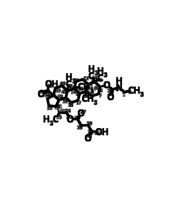 CCNC(=O)O[C@@H]1CC[C@@]2(C)C(CC[C@]3(C)C2CCC2C4[C@H](C(C)COC(=O)CCC(=O)O)CC[C@]4(C(=O)O)CC[C@]23C)C1(C)C